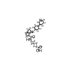 O=C(NC1CC2(C1)CC(C(=O)O)C2)c1csc2ccn(Cc3ccc(-c4cccnc4)cc3)c12